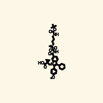 COc1ccc(-c2c(C3CCCCC3)c3ccc(C(=O)NS(=O)(=O)N(C)CCCCNC(=O)OC(C)(C)C)cc3n2CC2(C(=O)O)CC2)cc1